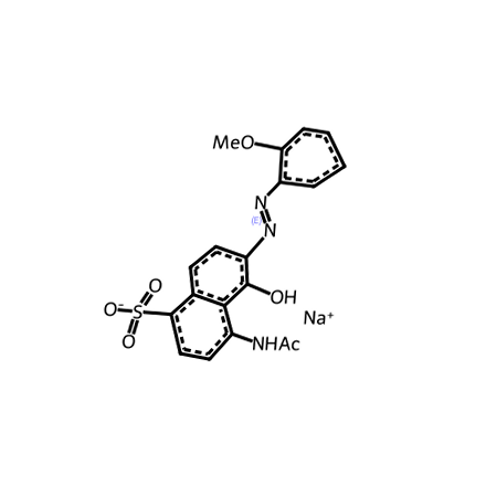 COc1ccccc1/N=N/c1ccc2c(S(=O)(=O)[O-])ccc(NC(C)=O)c2c1O.[Na+]